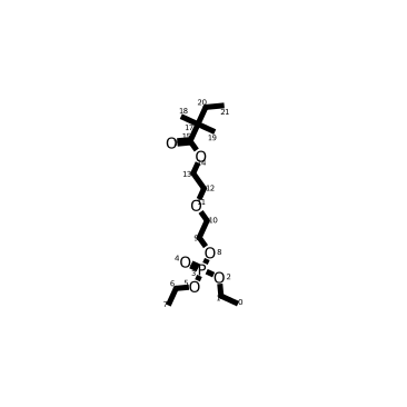 CCOP(=O)(OCC)OCCOCCOC(=O)C(C)(C)CC